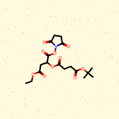 CCOC(=O)CC(OC(=O)CCC(=O)OC(C)(C)C)C(=O)ON1C(=O)CCC1=O